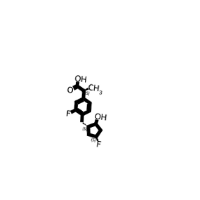 C[C@H](C(=O)O)c1ccc(C[C@H]2C[C@H](F)CC2O)c(F)c1